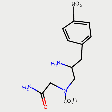 NC(=O)CN(CC(N)Cc1ccc([N+](=O)[O-])cc1)C(=O)O